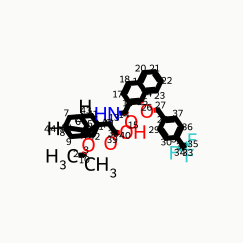 CC(C)OC12C[C@H]3C[C@@H](C1)CC([C@H](NC(=O)c1ccc4ccccc4c1OCc1ccc(C(F)(F)F)cc1)C(=O)O)(C3)C2